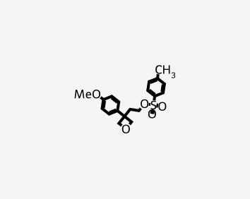 COc1ccc(C2(CCOS(=O)(=O)c3ccc(C)cc3)COC2)cc1